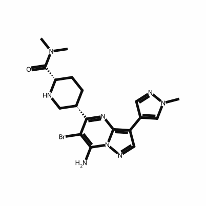 CN(C)C(=O)[C@@H]1CC[C@H](c2nc3c(-c4cnn(C)c4)cnn3c(N)c2Br)CN1